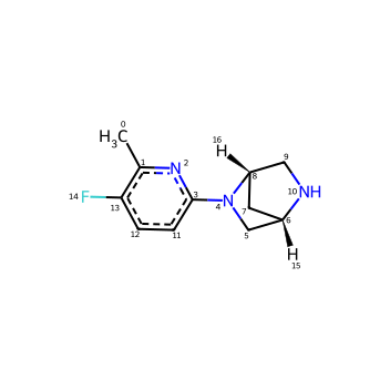 Cc1nc(N2C[C@@H]3C[C@H]2CN3)ccc1F